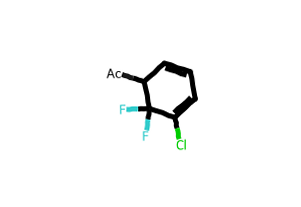 CC(=O)C1C=CC=C(Cl)C1(F)F